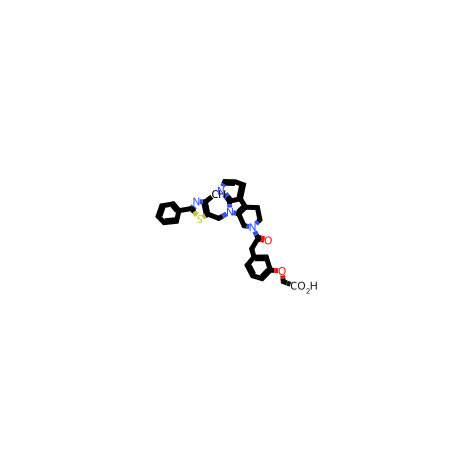 Cc1nc(-c2ccccc2)sc1Cn1c2c(c3cccnc31)CCN(C(=O)Cc1cccc(OCC(=O)O)c1)C2